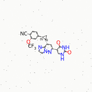 N#Cc1ccc([C@H]2C[C@@H]2c2cc(-c3c[nH]c(=O)[nH]c3=O)nn3ccnc23)cc1OC(F)(F)F